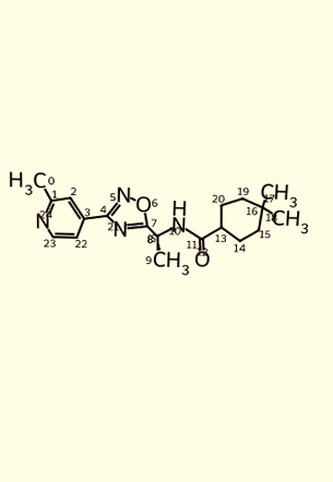 Cc1cc(-c2noc([C@H](C)NC(=O)C3CCC(C)(C)CC3)n2)ccn1